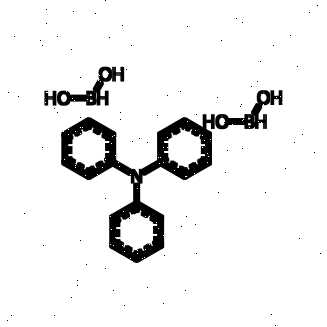 OBO.OBO.c1ccc(N(c2ccccc2)c2ccccc2)cc1